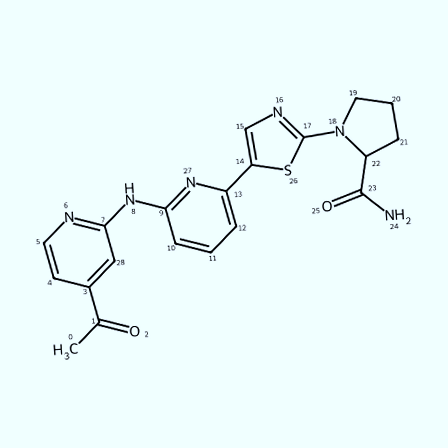 CC(=O)c1ccnc(Nc2cccc(-c3cnc(N4CCCC4C(N)=O)s3)n2)c1